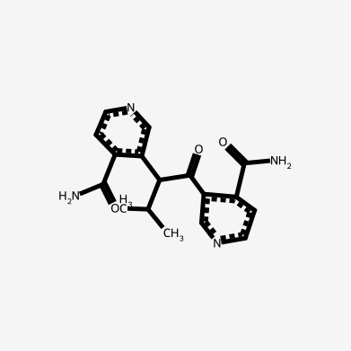 CC(C)C(C(=O)c1cnccc1C(N)=O)c1cnccc1C(N)=O